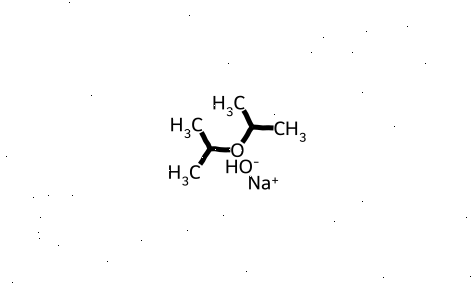 CC(C)OC(C)C.[Na+].[OH-]